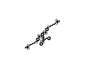 C=CC(=O)OCCCCCCOc1ccc(C(=O)Oc2ccc(OC(=O)c3ccc(OCCCCCCOC(=O)C=C)cc3)c(/C=N/N(CCC3C=CC=CC3)c3nc4ccccc4s3)c2)cc1